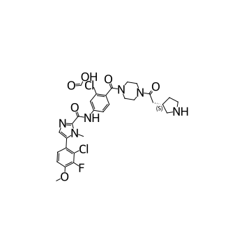 COc1ccc(-c2cnc(C(=O)Nc3ccc(C(=O)N4CCN(C(=O)C[C@@H]5CCNC5)CC4)c(Cl)c3)n2C)c(Cl)c1F.O=CO